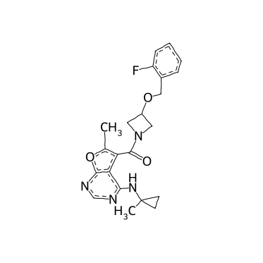 Cc1oc2ncnc(NC3(C)CC3)c2c1C(=O)N1CC(OCc2ccccc2F)C1